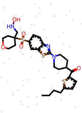 CCCCc1ccc(C(=O)C2CCN(c3nc4ccc(S(=O)(=O)C5(CNO)CCOCC5)cc4s3)CC2)s1